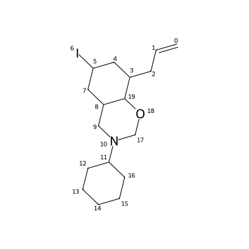 C=CCC1CC(I)CC2CN(C3CCCCC3)COC12